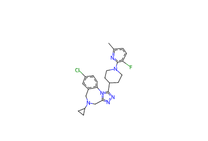 Cc1ccc(F)c(N2CCC(c3nnc4n3-c3ccc(Cl)cc3CN(C3CC3)C4)CC2)n1